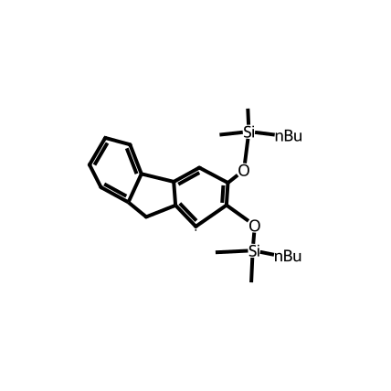 CCCC[Si](C)(C)Oc1[c]c2c(cc1O[Si](C)(C)CCCC)-c1ccccc1C2